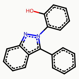 Oc1ccccc1-n1nc2ccccc2c1-c1ccccc1